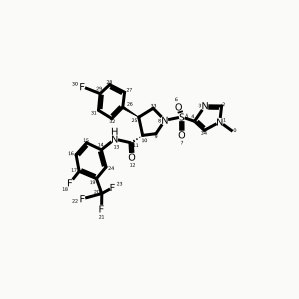 Cn1cnc(S(=O)(=O)N2C[C@H](C(=O)Nc3ccc(F)c(C(F)(F)F)c3)[C@@H](c3ccc(F)cc3)C2)c1